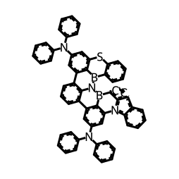 c1ccc(N(c2ccccc2)c2cc3c4c(c2)-c2cccc5c2N(B4c2ccccc2S3)B2c3c-5cc(N(c4ccccc4)c4ccccc4)cc3-n3c4ccccc4c4cccc2c43)cc1